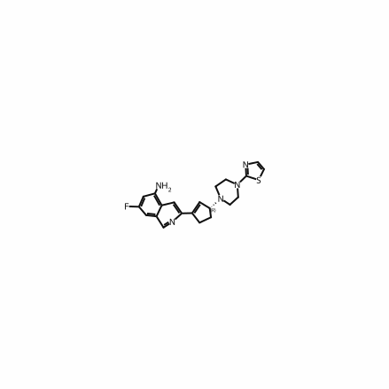 Nc1cc(F)cc2cnc(C3=C[C@H](N4CCN(c5nccs5)CC4)CC3)cc12